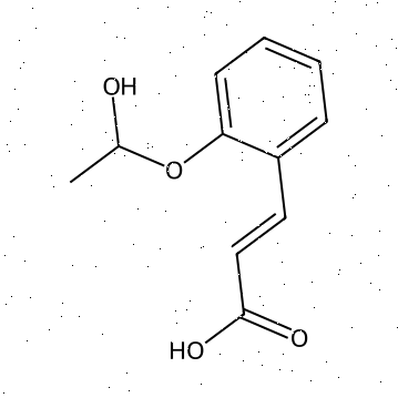 CC(O)Oc1ccccc1/C=C/C(=O)O